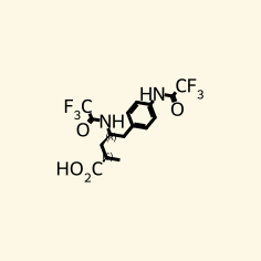 C[C@@H](C[C@H](Cc1ccc(NC(=O)C(F)(F)F)cc1)NC(=O)C(F)(F)F)C(=O)O